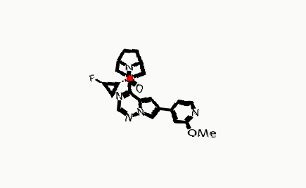 COc1cc(-c2cc3c(N4CC5CCC(C4)N5C(=O)[C@@H]4C[C@H]4F)ncnn3c2)ccn1